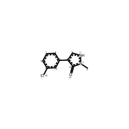 Cn1[nH]cc(-c2cccc(Cl)c2)c1=O